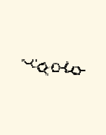 Cc1ccc(NC(=O)N2CC=C(c3ncc(CC(O)CO)cc3Cl)CC2)cc1